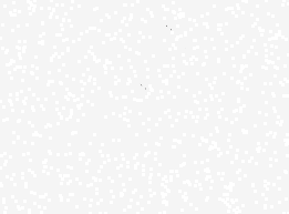 CCOc1cncc(-c2ccc(C)cc2)n1